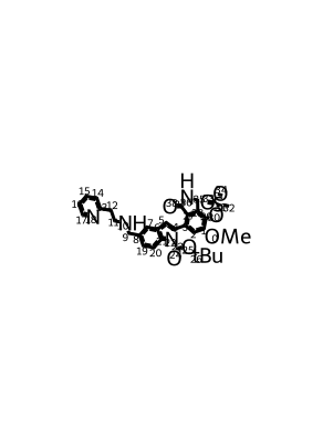 COc1cc(-c2cc3cc(CNCCc4ccccn4)ccc3n2C(=O)OC(C)(C)C)c2c(c1OS(C)(=O)=O)CNC2=O